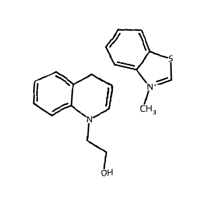 C[n+]1csc2ccccc21.OCCN1C=CCc2ccccc21